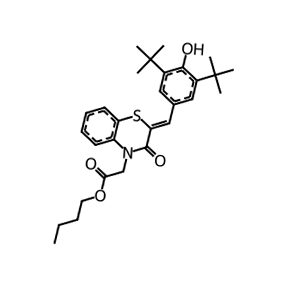 CCCCOC(=O)CN1C(=O)C(=Cc2cc(C(C)(C)C)c(O)c(C(C)(C)C)c2)Sc2ccccc21